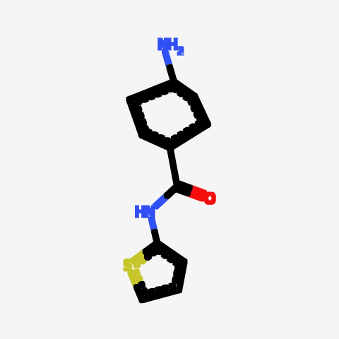 Nc1ccc(C(=O)Nc2cccs2)cc1